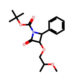 COC(C)COC1C(=O)N(C(=O)OC(C)(C)C)C1c1ccccc1